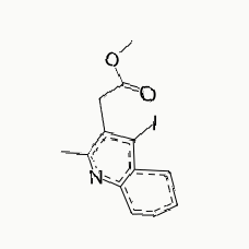 COC(=O)Cc1c(C)nc2ccccc2c1I